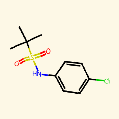 CC(C)(C)S(=O)(=O)Nc1ccc(Cl)cc1